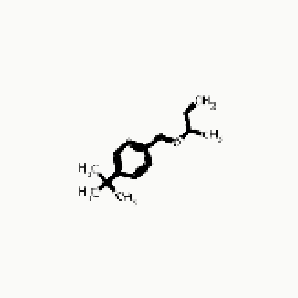 CCC(C)OCc1ccc(C(C)(C)C)cc1